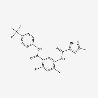 Cc1ncc(C(=O)Nc2cc(C(=O)Nc3ccc(C(C)(F)F)cn3)c(F)cc2C)s1